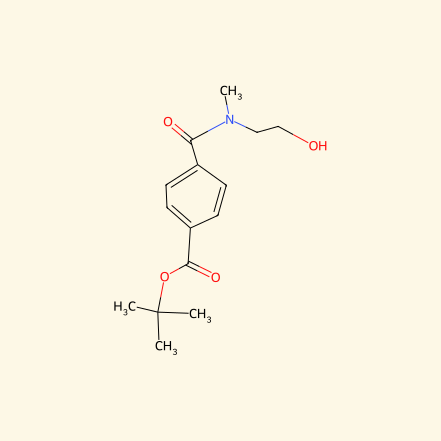 CN(CCO)C(=O)c1ccc(C(=O)OC(C)(C)C)cc1